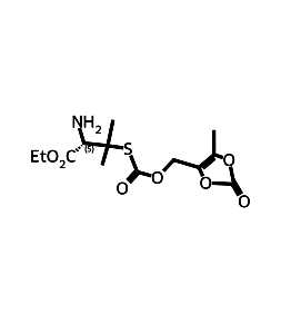 CCOC(=O)[C@H](N)C(C)(C)SC(=O)OCc1oc(=O)oc1C